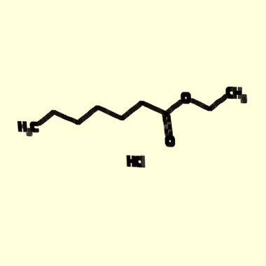 CCCCCCC(=O)OCC.Cl